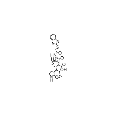 O=C(CSc1nc2ccccc2s1)N[C@@H]1C(=O)N2C(C(=O)O)=C(C(CC3CC3)=C3CCNC3=O)CS[C@H]12